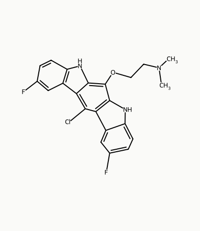 CN(C)CCOc1c2[nH]c3ccc(F)cc3c2c(Cl)c2c1[nH]c1ccc(F)cc12